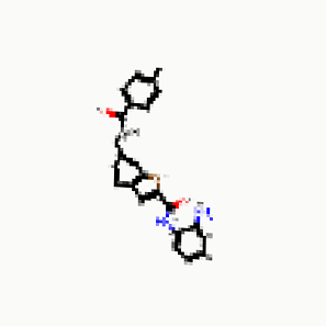 Cc1ccc(C(=O)[AsH]Cc2ccc3cc(C(=O)Nc4ccccc4N)sc3c2)cc1